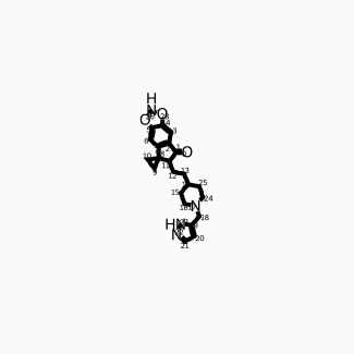 O=C1c2cc3c(cc2C2(CC2)C1CCC1CCN(Cc2ccn[nH]2)CC1)ONO3